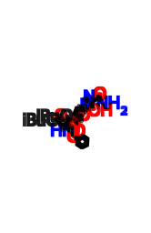 CC(C)COC(=O)C[C@H](NP(=O)(OC[C@@H]1CC[C@H](n2cnc(C(N)=O)c2O)O1)Oc1ccccc1)C(=O)OCC(C)C